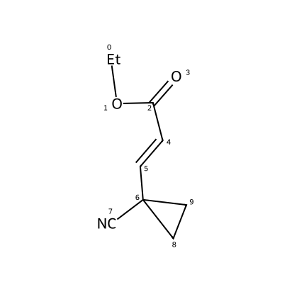 CCOC(=O)C=CC1(C#N)CC1